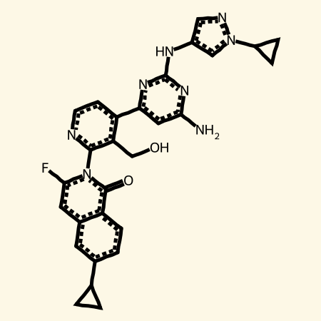 Nc1cc(-c2ccnc(-n3c(F)cc4cc(C5CC5)ccc4c3=O)c2CO)nc(Nc2cnn(C3CC3)c2)n1